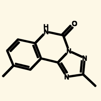 Cc1ccc2[nH]c(=O)n3nc(C)nc3c2c1